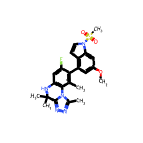 COc1cc(-c2c(F)cc3c(c2C)-n2c(C)nnc2C(C)(C)N3)c2ccn(S(C)(=O)=O)c2c1